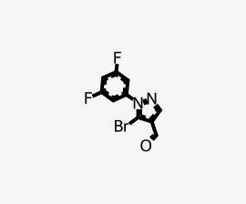 O=Cc1cnn(-c2cc(F)cc(F)c2)c1Br